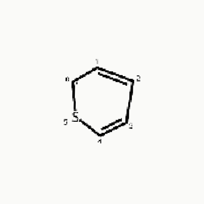 [C]1[C]=CC=CS1